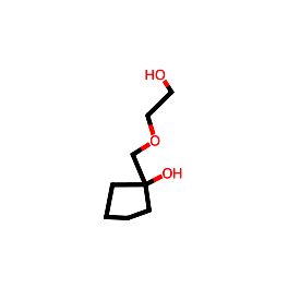 OCCOCC1(O)CCCC1